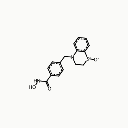 O=C(NO)c1ccc(CN2CC[S+]([O-])c3ccccc32)cc1